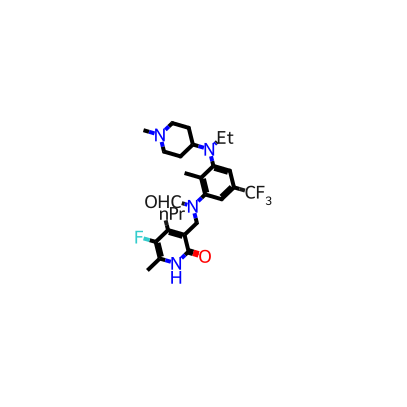 CCCc1c(F)c(C)[nH]c(=O)c1CN(C=O)c1cc(C(F)(F)F)cc(N(CC)C2CCN(C)CC2)c1C